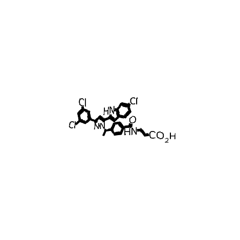 CC(c1ccc(C(=O)NCCC(=O)O)cc1)n1nc(-c2cc(Cl)cc(Cl)c2)cc1-c1cc2ccc(Cl)cc2[nH]1